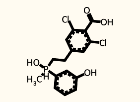 C[PH](O)(CCc1cc(Cl)c(C(=O)O)c(Cl)c1)c1cccc(O)c1